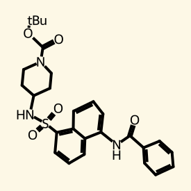 CC(C)(C)OC(=O)N1CCC(NS(=O)(=O)c2cccc3c(NC(=O)c4ccccc4)cccc23)CC1